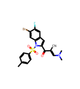 Cc1ccc(S(=O)(=O)n2c(C(=O)C(C#N)=CN(C)C)cc3cc(F)c(Br)cc32)cc1